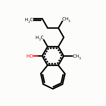 C=CCC(C)Cc1c(C)c(O)c2c(c1C)C=C=CC=C2